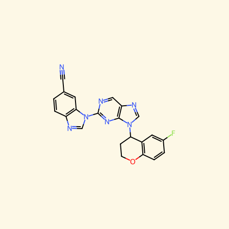 N#Cc1ccc2ncn(-c3ncc4ncn(C5CCOc6ccc(F)cc65)c4n3)c2c1